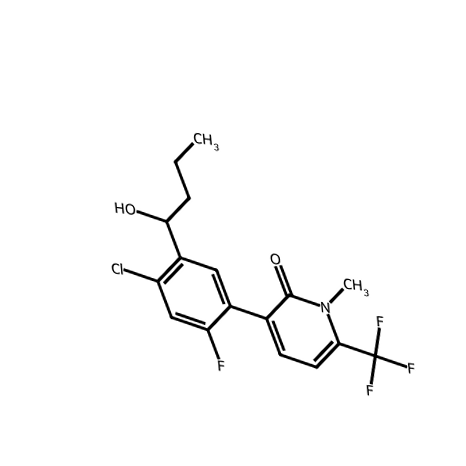 CCCC(O)c1cc(-c2ccc(C(F)(F)F)n(C)c2=O)c(F)cc1Cl